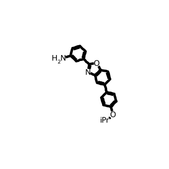 CC(C)Oc1ccc(-c2ccc3oc(-c4cccc(N)c4)nc3c2)cc1